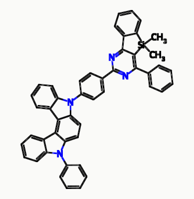 C[Si]1(C)c2ccccc2-c2nc(-c3ccc(-n4c5ccccc5c5c6c7ccccc7n(-c7ccccc7)c6ccc54)cc3)nc(-c3ccccc3)c21